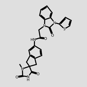 CN1C(=O)NC(=O)C12Cc1ccc(NC(=O)Cn3c(=O)n(-c4cccs4)c4ccccc43)cc1C2